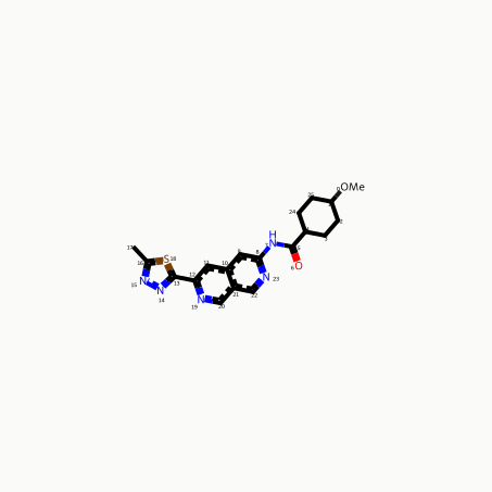 COC1CCC(C(=O)Nc2cc3cc(-c4nnc(C)s4)ncc3cn2)CC1